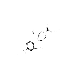 CC(C)(C)OC(=O)N1CCN(c2ccc([N+](=O)[O-])cc2C#N)[C@H](CO)C1